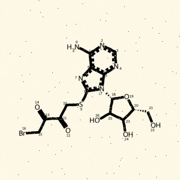 Nc1ncnc2c1nc(SCC(=O)C(=O)CBr)n2[C@@H]1O[C@H](CO)C(O)C1O